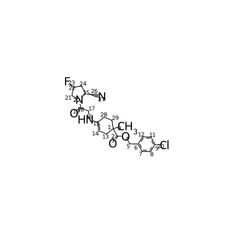 CC1(C(=O)OCc2ccc(Cl)cc2)CC=C(NCC(=O)N2C[C@@H](F)C[C@H]2C#N)CC1